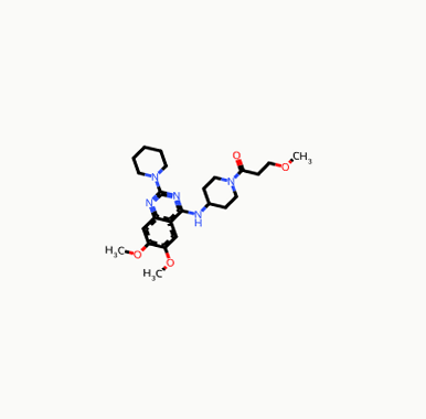 COCCC(=O)N1CCC(Nc2nc(N3CCCCC3)nc3cc(OC)c(OC)cc23)CC1